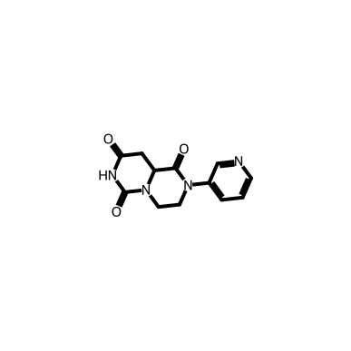 O=C1CC2C(=O)N(c3cccnc3)CCN2C(=O)N1